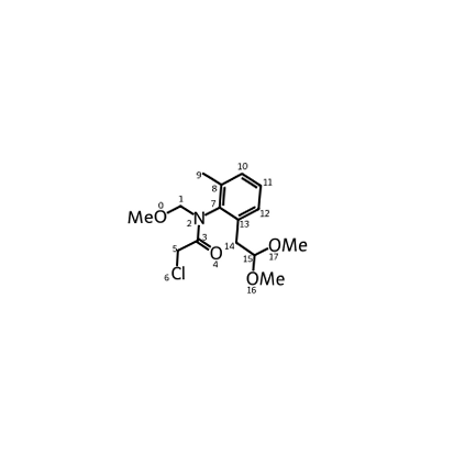 COCN(C(=O)CCl)c1c(C)cccc1CC(OC)OC